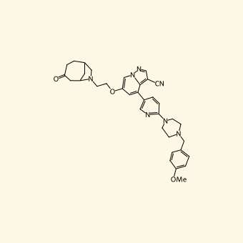 COc1ccc(CN2CCN(c3ccc(-c4cc(OCCN5CC6CCC(=O)CC5C6)cn5ncc(C#N)c45)cn3)CC2)cc1